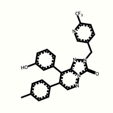 Cc1ccc(-c2cnn3c(=O)n(Cc4ccc(C(F)(F)F)nc4)nc3c2-c2cccc(O)c2)cc1